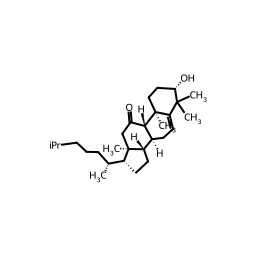 CC(C)CCC[C@@H](C)[C@H]1CC[C@H]2[C@@H]3CC=C4C(C)(C)[C@@H](O)CC[C@]4(C)[C@H]3C(=O)C[C@]12C